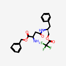 NC(CC(=O)N[C@H](COC(=O)C(F)(F)F)Cc1ccccc1)C(=O)OCc1ccccc1